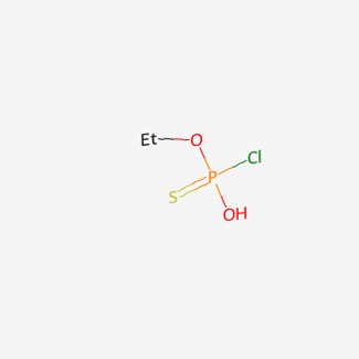 CCOP(O)(=S)Cl